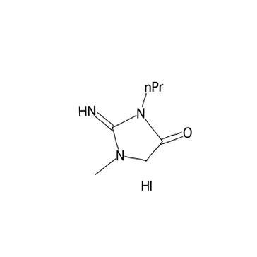 CCCN1C(=N)N(C)CC1=O.I